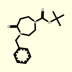 CC(C)(C)OC(=O)N1CCC(=O)N(Cc2ccccc2)CC1